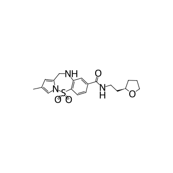 Cc1cc2n(c1)S(=O)(=O)c1ccc(C(=O)NCC[C@H]3CCCO3)cc1NC2